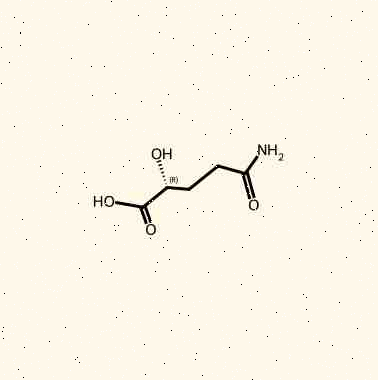 NC(=O)CC[C@@H](O)C(=O)O